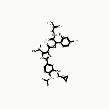 C[C@H](N)c1oc(-c2ccc(OC(F)F)c(OCC3CC3)c2)nc1C(=O)NC(C(=O)NCC(N)=O)c1ccc(F)cc1F